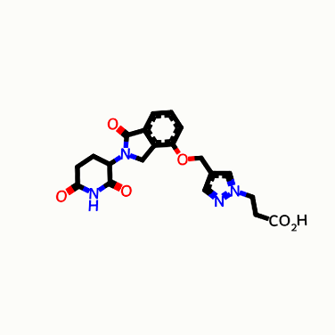 O=C(O)CCn1cc(COc2cccc3c2CN(C2CCC(=O)NC2=O)C3=O)cn1